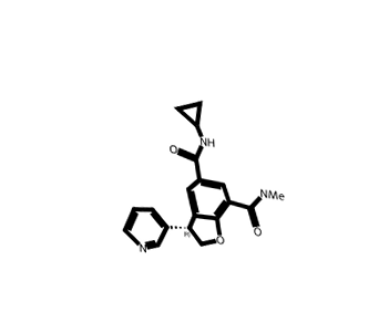 CNC(=O)c1cc(C(=O)NC2CC2)cc2c1OC[C@@H]2c1cccnc1